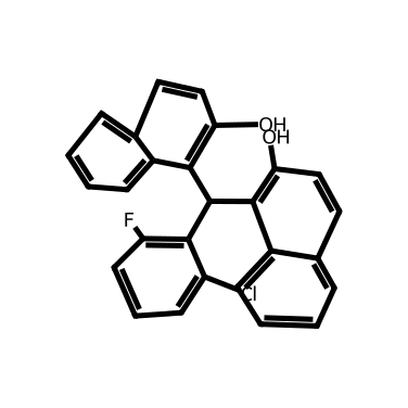 Oc1ccc2ccccc2c1C(c1c(F)cccc1Cl)c1c(O)ccc2ccccc12